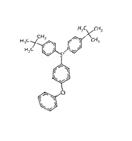 CC(C)(C)c1ccc([S+](c2ccc(Oc3ccccc3)cc2)c2ccc(C(C)(C)C)cc2)cc1